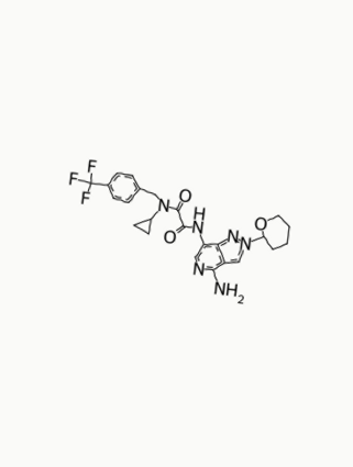 Nc1ncc(NC(=O)C(=O)N(Cc2ccc(C(F)(F)F)cc2)C2CC2)c2nn(C3CCCCO3)cc12